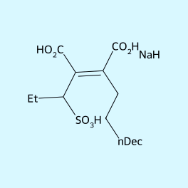 CCCCCCCCCCCCC(C(=O)O)=C(C(=O)O)C(CC)S(=O)(=O)O.[NaH]